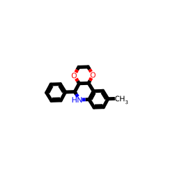 Cc1ccc2c(c1)C1OCCOC1C(c1ccccc1)N2